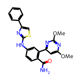 COc1cc(-c2cc(Nc3nc(-c4ccccc4)cs3)ccc2C(N)=O)nc(OC)n1